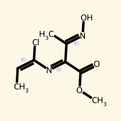 C\C=C(Cl)/N=C(C(=O)OC)\C(C)=N\O